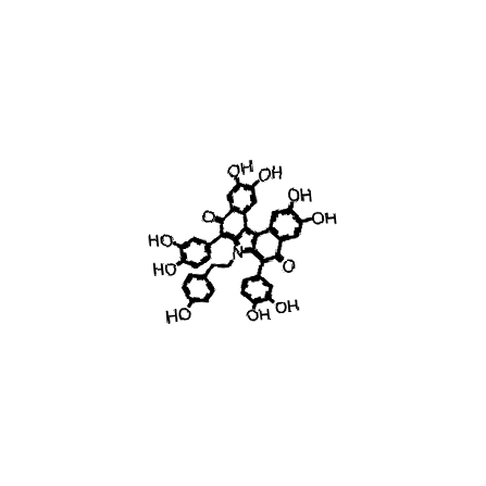 O=C1C(c2ccc(O)c(O)c2)=c2c(c3c(n2CCc2ccc(O)cc2)=C(c2ccc(O)c(O)c2)C(=O)c2cc(O)c(O)cc2-3)-c2cc(O)c(O)cc21